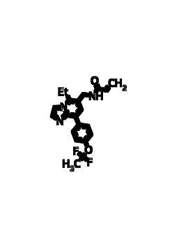 C=CC(=O)NCc1cc(-c2ccc(OC(C)(F)F)cc2)c2nccn2c1CC